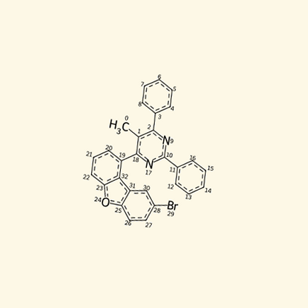 Cc1c(-c2ccccc2)nc(-c2ccccc2)nc1-c1cccc2oc3ccc(Br)cc3c12